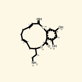 N=C1/C=C/CC/C=C/CC(CCN)OC(=O)c2c(O)cc(O)cc2C1